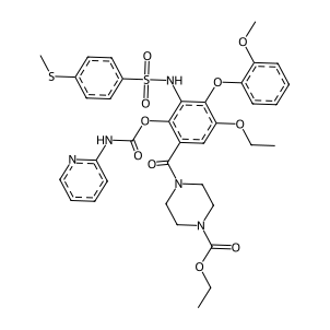 CCOC(=O)N1CCN(C(=O)c2cc(OCC)c(Oc3ccccc3OC)c(NS(=O)(=O)c3ccc(SC)cc3)c2OC(=O)Nc2ccccn2)CC1